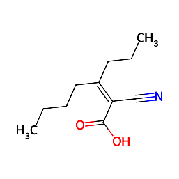 CCCCC(CCC)=C(C#N)C(=O)O